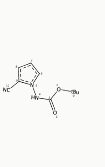 CC(C)(C)OC(=O)Nn1cccc1C#N